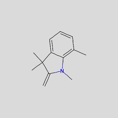 C=C1N(C)c2c(C)cccc2C1(C)C